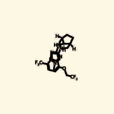 Cn1cc(N2C[C@H]3CC[C@@H](C2)[C@@H]3Nc2nc3c(OCC(F)(F)F)ccc(C(F)(F)F)n3n2)cn1